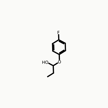 CCC(O)Oc1ccc(F)cc1